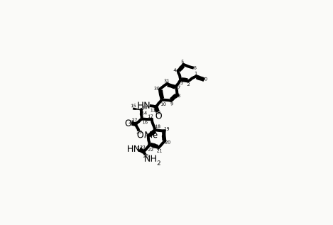 C=C/C=C(\C=C/C)c1ccc(C(=O)N[C@H](C)C(Cc2cccc(C(=N)N)c2)C(=O)OC)cc1